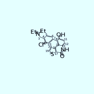 CCN(CC)Cc1ccc(-c2c(O)ccc3[nH]c(=O)c4sccc4c23)cc1Cl